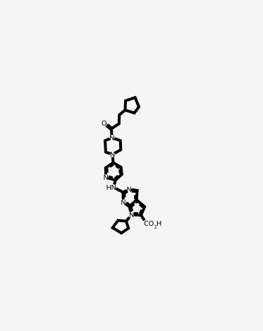 O=C(O)c1cc2cnc(Nc3ccc(N4CCN(C(=O)CCC5CCCC5)CC4)cn3)nc2n1C1CCCC1